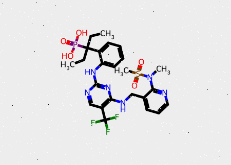 CCC(CC)(c1ccccc1Nc1ncc(C(F)(F)F)c(NCc2cccnc2N(C)S(C)(=O)=O)n1)P(=O)(O)O